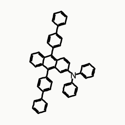 c1ccc(-c2ccc(-c3c4ccccc4c(-c4ccc(-c5ccccc5)cc4)c4cc(N(c5ccccc5)c5ccccc5)ccc34)cc2)cc1